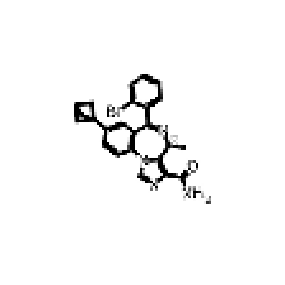 C[C@@H]1N=C(c2ccccc2Br)c2cc(C34CC(C3)C4)ccc2-n2cnc(C(N)=O)c21